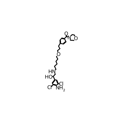 Nc1c(Cl)cc(C(O)CNCCCCCCOCCCc2ccc(C(=O)N3CCOCC3)cc2)cc1Cl